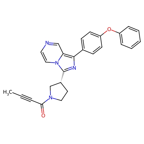 CC#CC(=O)N1CC[C@@H](c2nc(-c3ccc(Oc4ccccc4)cc3)c3cnccn23)C1